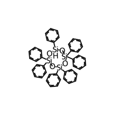 c1ccc([SiH]2O[Si](c3ccccc3)(c3ccccc3)O[Si](c3ccccc3)(c3ccccc3)O[Si](c3ccccc3)(c3ccccc3)O2)cc1